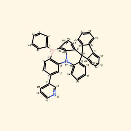 c1ccc(B2c3ccc(-c4cccnc4)cc3N3c4ccccc4C4(c5ccccc5-c5ccccc54)c4cccc2c43)cc1